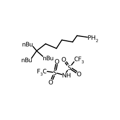 CCCCC(CCCC)(CCCC)CCCCCP.O=S(=O)(NS(=O)(=O)C(F)(F)F)C(F)(F)F